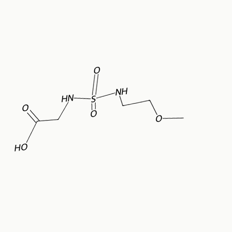 COCCNS(=O)(=O)NCC(=O)O